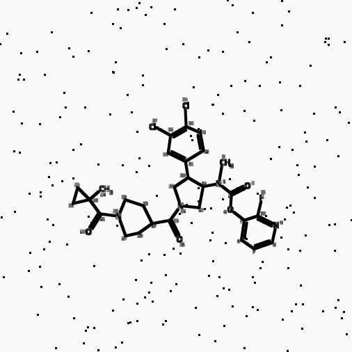 CN(C(=O)Oc1cccnc1F)C1CN(C(=O)C2CCN(C(=O)C3(C)CC3)CC2)CC1c1ccc(Cl)c(Cl)c1